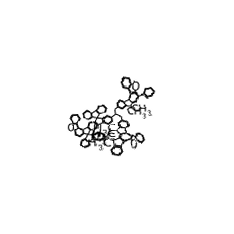 CC1(C)c2cc(CC(Cc3ccc4c(c3)C(C)(C)c3c5c(c6oc7ccccc7c6c3-4)-c3ccccc3C5(C)C)c3ccc4c(c3)C3(c5ccccc5-c5ccccc53)c3cc5c(cc3-4)C3(c4ccccc4-c4ccccc43)c3ccc4oc6ccccc6c4c3-5)ccc2-c2c1cc(-c1ccccc1)c1oc3ccccc3c21